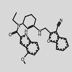 CCN(C(=O)c1cc2c(OC)cccc2[nH]1)[C@@H]1C=C(NCc2oc3ccccc3c2C#N)CCC1